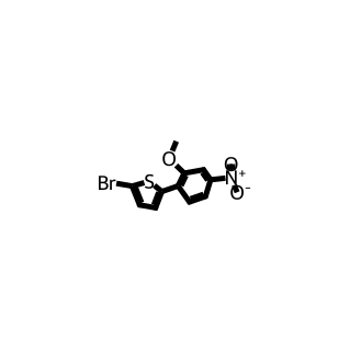 COc1cc([N+](=O)[O-])ccc1-c1ccc(Br)s1